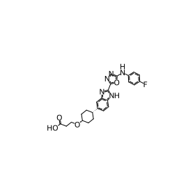 O=C(O)CCO[C@H]1CC[C@H](c2ccc3[nH]c(-c4nnc(Nc5ccc(F)cc5)o4)nc3c2)CC1